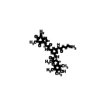 Cc1c(C)c2c(c(C)c1O)CCC(C)(C(=O)Nc1nc(NC(=O)CCCN)nc(NC(=O)Cn3cnc4c3c(=O)n(C)c(=O)n4C)n1)O2